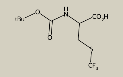 CC(C)(C)OC(=O)NC(CSC(F)(F)F)C(=O)O